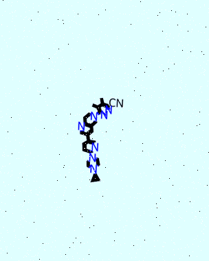 Cc1c(C#N)nnc(N2CCc3ncc(-c4ccc(N5CCN(C6CC6)CC5)nc4)cc3C2)c1C